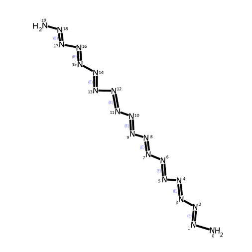 N/N=N/N=N/N=N/N=N/N=N/N=N/N=N/N=N/N=N/N